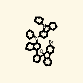 OC1(c2ccccc2-c2ccc(N(c3ccccc3)c3ccc4c5ccccc5n(-c5ccccc5)c4c3)c3ccccc23)c2ccccc2-c2ccc(Br)cc21